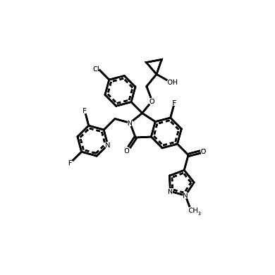 Cn1cc(C(=O)c2cc(F)c3c(c2)C(=O)N(Cc2ncc(F)cc2F)C3(OCC2(O)CC2)c2ccc(Cl)cc2)cn1